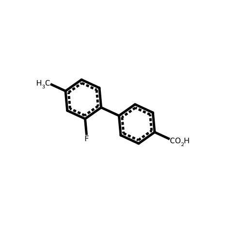 Cc1ccc(-c2ccc(C(=O)O)cc2)c(F)c1